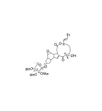 CC/C=C/[C@H]1CCC[C@H](O)[C@@H](C)C(=O)C2=CC3C4C[C@H](O[C@@H]5O[C@@H](C)[C@H](OC)[C@@H](OC)[C@H]5OC)CC4C4OC4C3C2CC(=O)O1